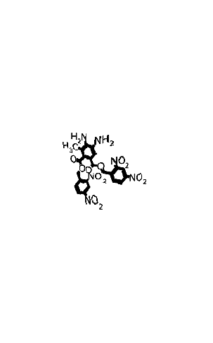 Cc1c(N)c(N)cc(C(=O)OCc2ccc([N+](=O)[O-])cc2[N+](=O)[O-])c1C(=O)OCc1ccc([N+](=O)[O-])cc1[N+](=O)[O-]